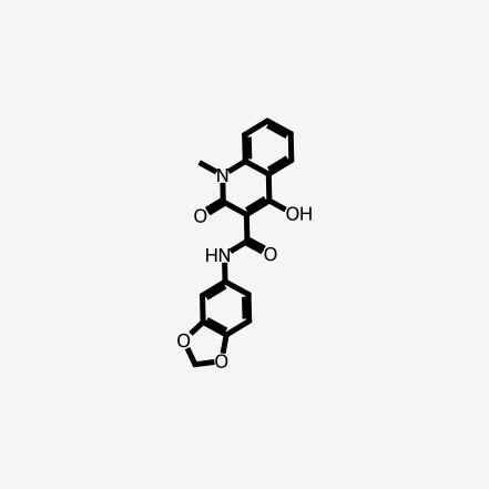 Cn1c(=O)c(C(=O)Nc2ccc3c(c2)OCO3)c(O)c2ccccc21